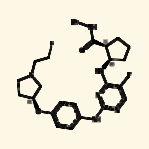 CC(C)NC(=O)[C@H]1CCC[C@H]1Nc1nc(Nc2ccc(O[C@H]3CCN(CCF)C3)cc2)ncc1F